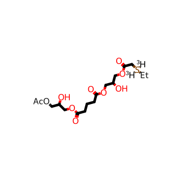 [3H]S([3H])(CC)CC(=O)OCC(O)COC(=O)CCCC(=O)OCC(O)COC(C)=O